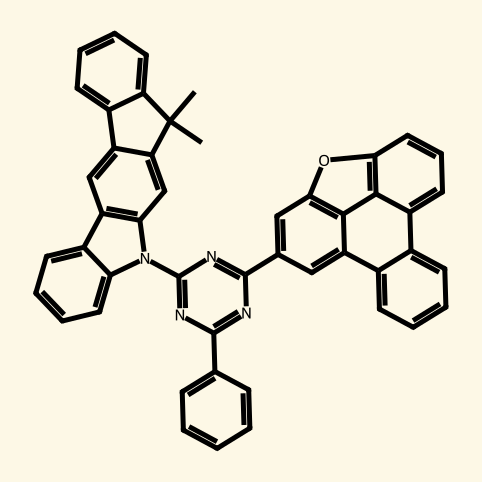 CC1(C)c2ccccc2-c2cc3c4ccccc4n(-c4nc(-c5ccccc5)nc(-c5cc6oc7cccc8c9ccccc9c(c5)c6c78)n4)c3cc21